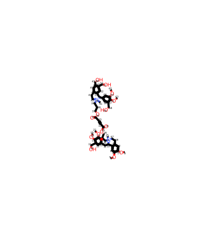 COc1cc2c(cc1OC)C(Cc1cc(CO)c(OC)c(OC)c1)[N+](C)(CCCOC(=O)C#CC(=O)OCCC[N+]1(C)CCc3cc(CO)c(CO)cc3C1c1cc(CO)c(OC)c(OC)c1)CC2